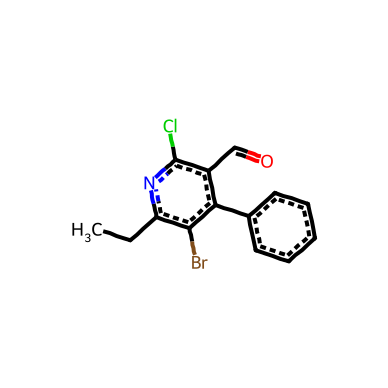 CCc1nc(Cl)c(C=O)c(-c2ccccc2)c1Br